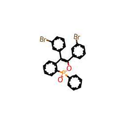 O=P1(c2ccccc2)OC(c2cccc(Br)c2)=C(c2cccc(Br)c2)c2ccccc21